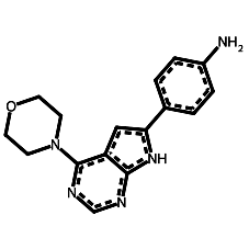 Nc1ccc(-c2cc3c(N4CCOCC4)ncnc3[nH]2)cc1